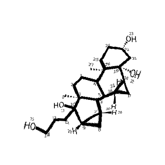 C[C@]12CCC3C(C1[C@@H]1C[C@@H]1C2(O)CCCO)[C@H]1C[C@H]1[C@]1(O)C[C@@H](O)CC[C@]31C